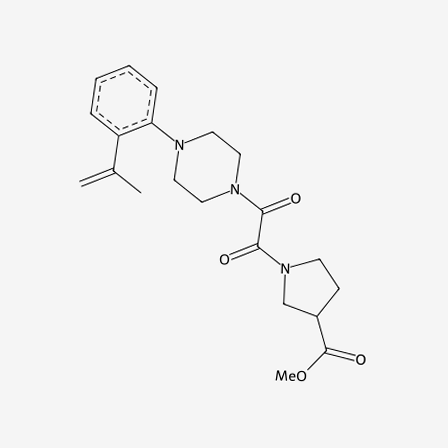 C=C(C)c1ccccc1N1CCN(C(=O)C(=O)N2CCC(C(=O)OC)C2)CC1